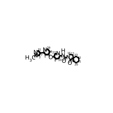 Cn1cc(-c2cc(Oc3ccc(NC(=O)N4CCC5(CCCCC5)C4=O)nc3)ccn2)cn1